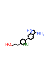 Cl.Nc1c[nH]c2cc(-c3ccc(CCCO)cc3)ccc12